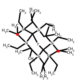 CC[Si](CC)(CC)[C]([Y][C]([Si](CC)(CC)CC)([Si](CC)(CC)CC)[Si](CC)(CC)CC)([Si](CC)(CC)CC)[Si](CC)(CC)CC